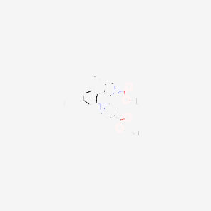 CC(=O)C1CN(C(=O)OC(C)(C)C)CC1c1ccc(C(F)(F)F)cc1N1CCC(C(=O)OC(C)(C)C)CC1